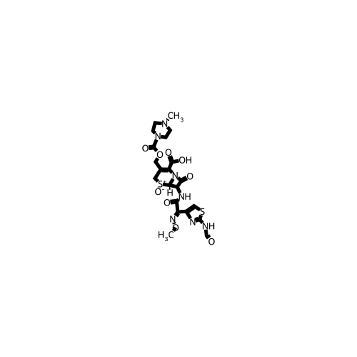 CO/N=C(/C(=O)NC1C(=O)N2C(C(=O)O)=C(COC(=O)N3CCN(C)CC3)C[S+]([O-])[C@H]12)c1csc(NC=O)n1